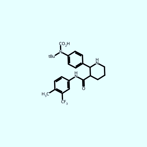 Cc1ccc(NC(=O)C2CCCNC2c2ccc(N(C(=O)O)C(C)(C)C)cc2)cc1C(F)(F)F